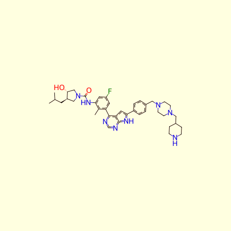 Cc1c(NC(=O)N2C[C@@H](CC(C)C)[C@H](O)C2)cc(F)cc1-c1ncnc2[nH]c(-c3ccc(CN4CCN(CC5CCNCC5)CC4)cc3)cc12